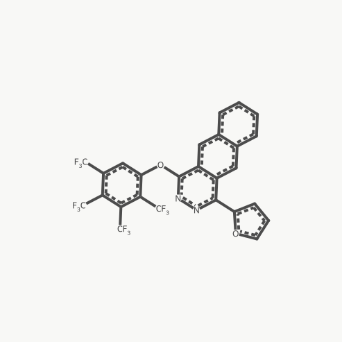 FC(F)(F)c1cc(Oc2nnc(-c3ccco3)c3cc4ccccc4cc23)c(C(F)(F)F)c(C(F)(F)F)c1C(F)(F)F